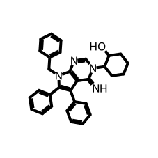 N=c1c2c(-c3ccccc3)c(-c3ccccc3)n(Cc3ccccc3)c2ncn1C1CCCCC1O